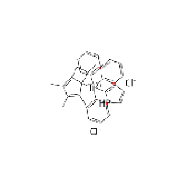 CC1=C(C)[C]2([Ti+2]([c]3ccccc3)([c]3ccccc3)([c]3ccccc3)[c]3ccc[pH]3)C(=C1C)CC2C.[Cl-].[Cl-]